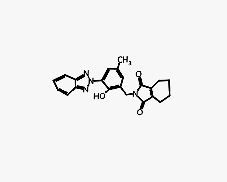 Cc1cc(CN2C(=O)C3=C(CCCC3)C2=O)c(O)c(-n2nc3ccccc3n2)c1